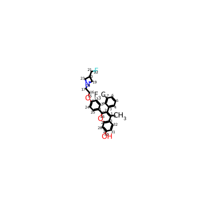 CC1=C(c2cccc(C(F)(F)F)c2)C(c2ccc(OCCN3CC(CF)C3)cc2)Oc2cc(O)ccc21